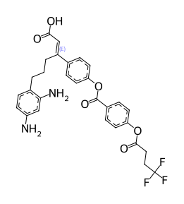 Nc1ccc(CCC/C(=C\C(=O)O)c2ccc(OC(=O)c3ccc(OC(=O)CCC(F)(F)F)cc3)cc2)c(N)c1